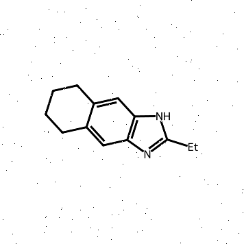 CCc1nc2cc3c(cc2[nH]1)CCCC3